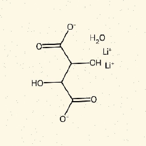 O.O=C([O-])C(O)C(O)C(=O)[O-].[Li+].[Li+]